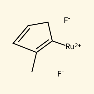 CC1=[C]([Ru+2])CC=C1.[F-].[F-]